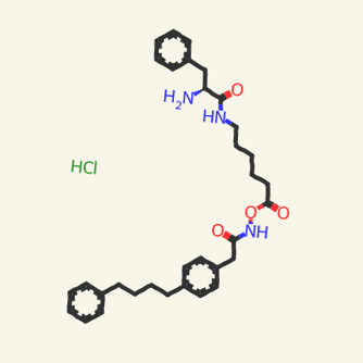 Cl.N[C@@H](Cc1ccccc1)C(=O)NCCCCCC(=O)ONC(=O)Cc1ccc(CCCCc2ccccc2)cc1